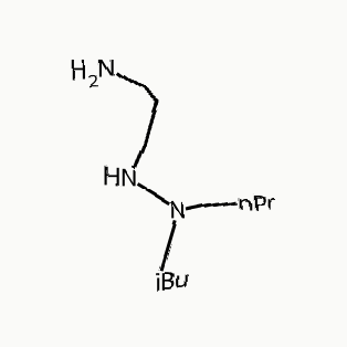 [CH2]C(CC)N(CCC)NCN